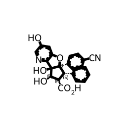 N#Cc1ccc([C@@]23Oc4cc(O)cnc4C2(O)[C@H](O)[C@H](C(=O)O)[C@H]3c2ccccc2)cc1